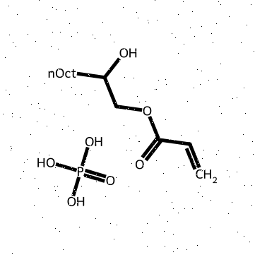 C=CC(=O)OCC(O)CCCCCCCC.O=P(O)(O)O